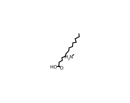 CCCCCCCCCCCCCC(=O)O.CN